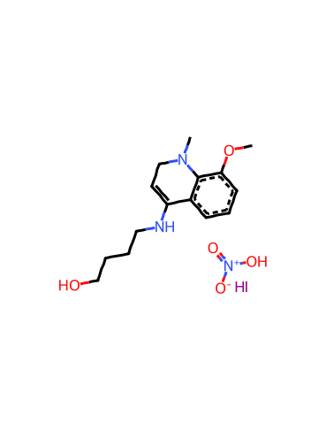 COc1cccc2c1N(C)CC=C2NCCCCO.I.O=[N+]([O-])O